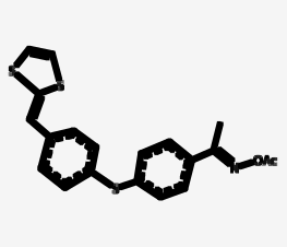 CC(=O)O/N=C(\C)c1ccc(Sc2ccc(C=C3SC=CS3)cc2)cc1